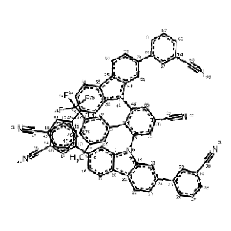 Cc1cc(-c2c(-n3c4cc(-c5cccc(C#N)c5)ccc4c4ccc(-c5cccc(C#N)c5)cc43)cc(C#N)cc2-n2c3cc(-c4cccc(C#N)c4)ccc3c3ccc(-c4cccc(C#N)c4)cc32)cc(C(F)(F)F)c1